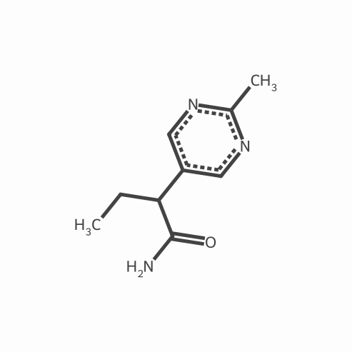 CCC(C(N)=O)c1cnc(C)nc1